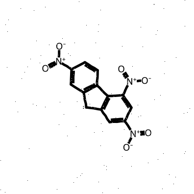 O=[N+]([O-])c1ccc2c(c1)[C]c1cc([N+](=O)[O-])cc([N+](=O)[O-])c1-2